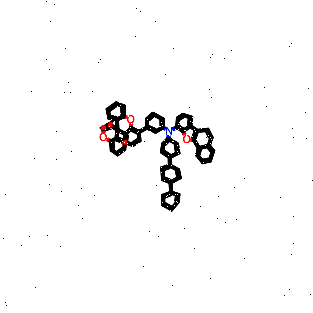 c1ccc(-c2ccc(-c3ccc(N(c4cccc(-c5cccc6c5Oc5ccccc5C65c6ccccc6Oc6ccccc65)c4)c4cccc5c4oc4c6ccccc6ccc54)cc3)cc2)cc1